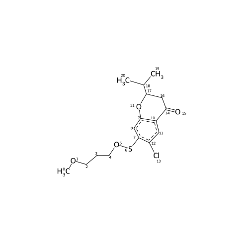 COCCCOSc1cc2c(cc1Cl)C(=O)CC(C(C)C)O2